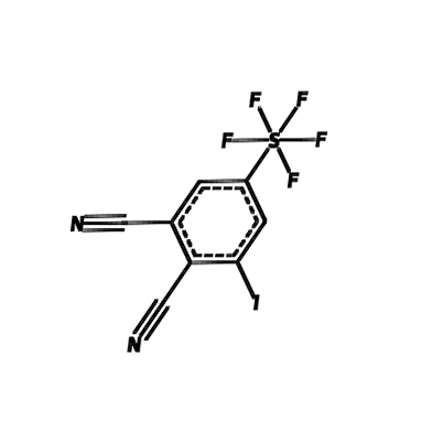 N#Cc1cc(S(F)(F)(F)(F)F)cc(I)c1C#N